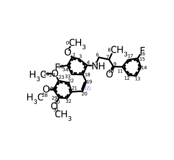 COc1cc(NCC(C)C(=O)c2cccc(F)c2)c(/C=C\c2cc(OC)c(OC)c(OC)c2)cc1F